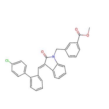 COC(=O)c1cccc(CN2C(=O)/C(=C/c3ccccc3-c3ccc(Cl)cc3)c3ccccc32)c1